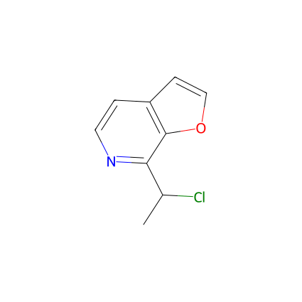 CC(Cl)c1nccc2ccoc12